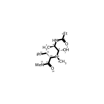 CCC(=O)N[C@H](C)[C@H](O)N(C)[C@@H](CC(C)C)C(=O)NC